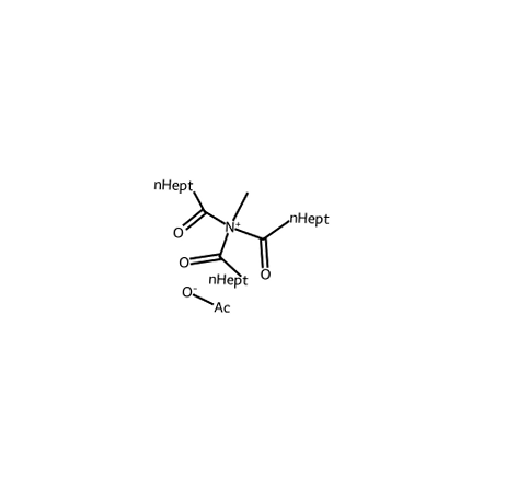 CC(=O)[O-].CCCCCCCC(=O)[N+](C)(C(=O)CCCCCCC)C(=O)CCCCCCC